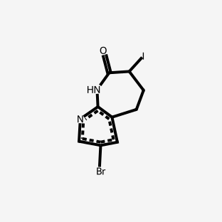 O=C1Nc2ncc(Br)cc2CCC1I